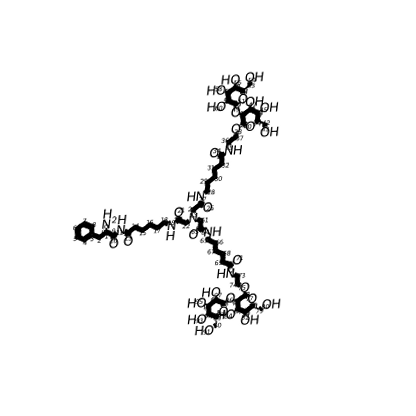 N[C@@H](Cc1ccccc1)C(=O)NC(=O)CCCCCNC(=O)CN(CC(=O)NCCCCCC(=O)NCCO[C@H]1O[C@H](CO)[C@@H](O)[C@H](O)[C@@H]1O[C@H]1O[C@H](CO)[C@@H](O)[C@H](O)[C@@H]1O)CC(=O)NCCCCCC(=O)NCCO[C@H]1O[C@H](CO)[C@@H](O)[C@H](O)[C@@H]1O[C@H]1O[C@H](CO)[C@@H](O)[C@H](O)[C@@H]1O